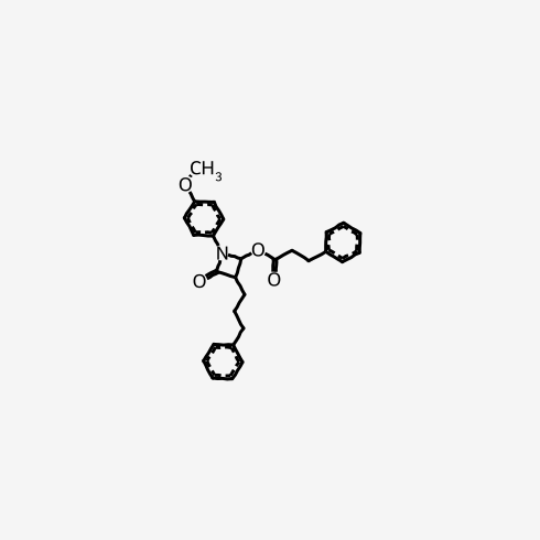 COc1ccc(N2C(=O)C(CCCc3ccccc3)C2OC(=O)CCc2ccccc2)cc1